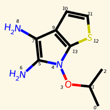 CC(C)On1c(N)c(N)c2ccsc21